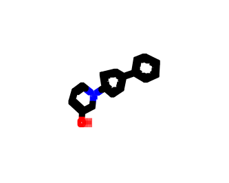 OC1=CC=CN(c2ccc(-c3ccccc3)cc2)C1